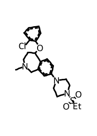 CCS(=O)(=O)N1CCN(c2ccc3c(c2)CN(C)CCC3Oc2ccccc2Cl)CC1